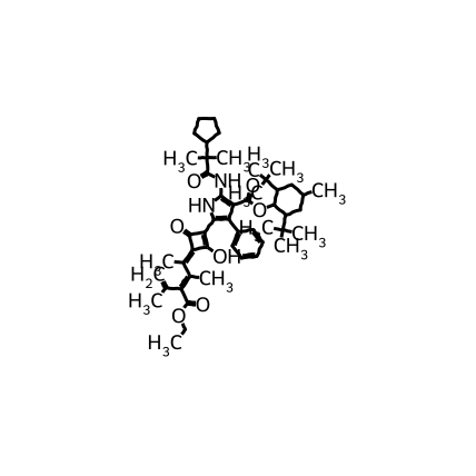 C=C(C)/C(C(=O)OCC)=C(C)\C(C)=C1\C(=O)C(c2[nH]c(NC(=O)C(C)(C)C3CCCC3)c(C(=O)OC3C(C(C)(C)C)CC(C)CC3C(C)(C)C)c2-c2ccccc2)=C1O